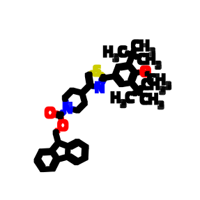 COc1c(C(C)(C)C)cc(-c2nc(C3CCN(C(=O)OCC4c5ccccc5-c5ccccc54)CC3)cs2)cc1C(C)(C)C